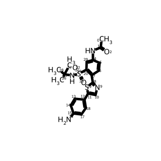 CC(=O)Nc1ccc(-c2ncc(-c3ccc(N)cc3)s2)c(S(=O)(=O)NC(C)(C)C)c1